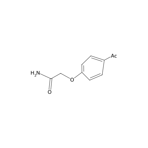 CC(=O)c1ccc(OCC(N)=O)cc1